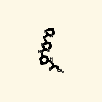 C=CC(=O)Nc1cccc(Nc2nccc(Sc3ncccn3)n2)c1